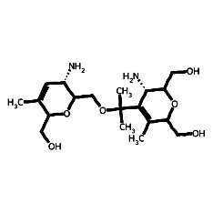 CC1=C[C@H](N)C(COC(C)(C)C2=C(C)C(CO)OC(CO)[C@H]2N)OC1CO